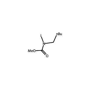 CCCCCN(I)C(=O)OC